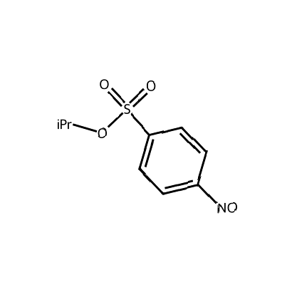 CC(C)OS(=O)(=O)c1ccc(N=O)cc1